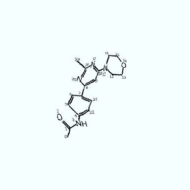 CC(=O)Nc1ccc(-c2cc(N3CCOCC3)nc(C)n2)cc1